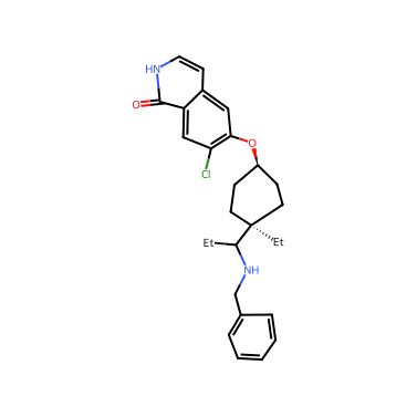 CCC(NCc1ccccc1)[C@]1(CC)CC[C@H](Oc2cc3cc[nH]c(=O)c3cc2Cl)CC1